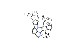 Cc1c2ccccc2c(CC(C)(C)C)c2c1c1c3c(ccc4c5cc(CC(C)(C)C)ccc5n2c43)cc[n+]1C